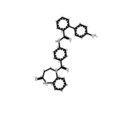 Cc1ccc(-c2ccccc2C(=O)Nc2ccc(C(=O)N3CCC(=O)Nc4ccccc43)cc2)cc1